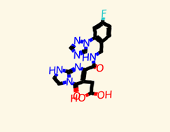 O=C(NCc1ccc(F)cc1-n1cncn1)c1nc2n(c(=O)c1CC(O)O)CCN2